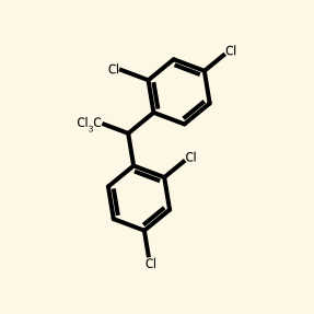 Clc1ccc(C(c2ccc(Cl)cc2Cl)C(Cl)(Cl)Cl)c(Cl)c1